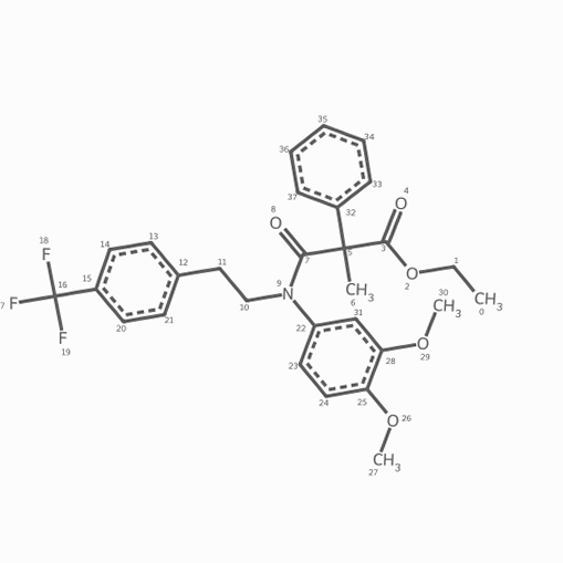 CCOC(=O)C(C)(C(=O)N(CCc1ccc(C(F)(F)F)cc1)c1ccc(OC)c(OC)c1)c1ccccc1